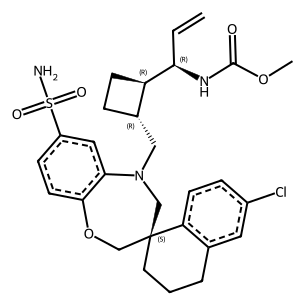 C=C[C@@H](NC(=O)OC)[C@@H]1CC[C@H]1CN1C[C@@]2(CCCc3cc(Cl)ccc32)COc2ccc(S(N)(=O)=O)cc21